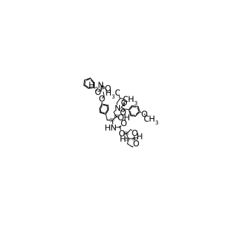 COc1ccc(S(=O)(=O)N(CC(C)C)C[C@@H](O)[C@H](Cc2ccc(OCP(N)(=O)Oc3ccccc3)cc2)NC(=O)O[C@H]2CO[C@H]3OCC[C@H]32)cc1